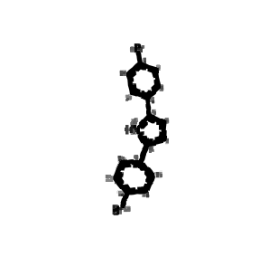 Brc1ccc(-c2ccc(-c3ccc(Br)cc3)[nH]2)cc1